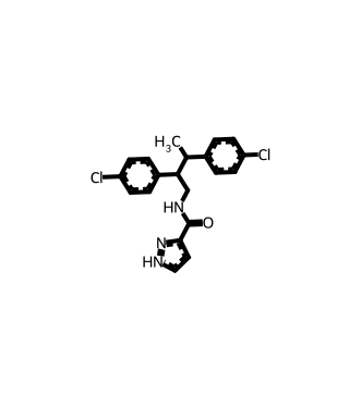 CC(c1ccc(Cl)cc1)C(CNC(=O)c1cc[nH]n1)c1ccc(Cl)cc1